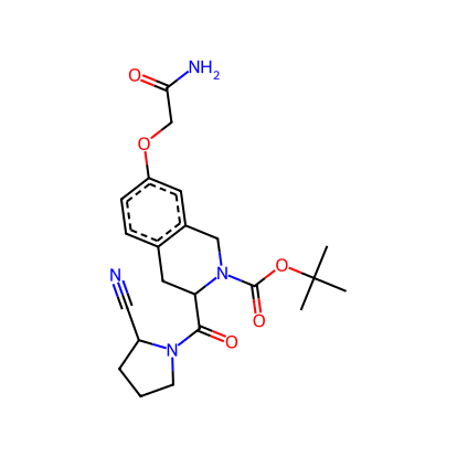 CC(C)(C)OC(=O)N1Cc2cc(OCC(N)=O)ccc2CC1C(=O)N1CCCC1C#N